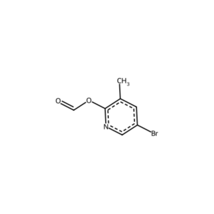 Cc1cc(Br)cnc1OC=O